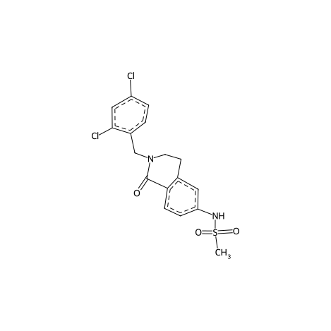 CS(=O)(=O)Nc1ccc2c(c1)CCN(Cc1ccc(Cl)cc1Cl)C2=O